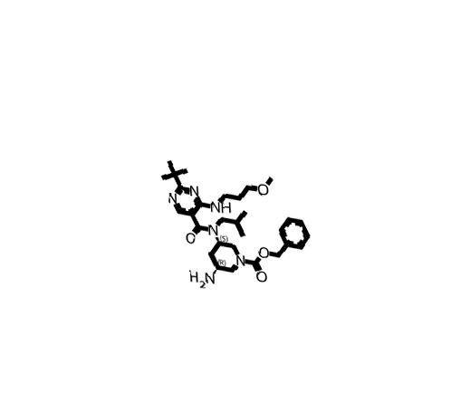 COCCCNc1nc(C(C)(C)C)ncc1C(=O)N(CC(C)C)[C@H]1C[C@@H](N)CN(C(=O)OCc2ccccc2)C1